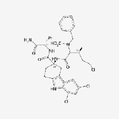 CC(C)[C@H](NC(=O)[C@@]1(NC(=O)C([C@@H](C)CCCl)N(Cc2ccccc2)C(=O)O)CCc2[nH]c3c(Cl)cc(Cl)cc3c2C1)C(N)=O